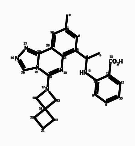 Cc1cc(C(C)Nc2ccccc2C(=O)O)c2nc(N3CC4(CCC4)C3)n3cnnc3c2c1